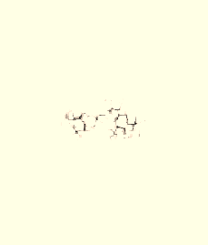 CCC1(C)CC2(OCC(C)(COC(=O)C(C)c3cc(C(C)(C)C)c(O)c(C(C)(C)C)c3)CO2)C(C)C(C)(CC)N1